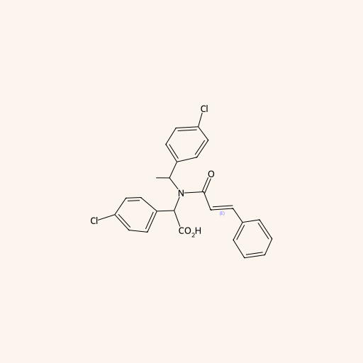 CC(c1ccc(Cl)cc1)N(C(=O)/C=C/c1ccccc1)C(C(=O)O)c1ccc(Cl)cc1